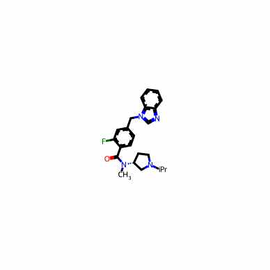 CC(C)N1CC[C@@H](N(C)C(=O)c2ccc(Cn3cnc4ccccc43)cc2F)C1